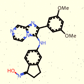 COc1cc(OC)cc(-c2nc3cnccn3c2Nc2ccc3c(c2)CC/C3=N/O)c1